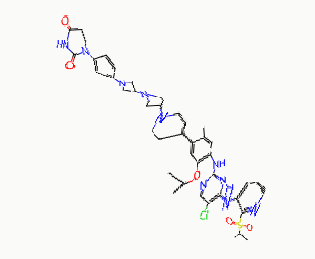 Cc1cc(Nc2ncc(Cl)c(Nc3cccnc3S(=O)(=O)C(C)C)n2)c(OC(C)C)cc1C1CCN(C2CN(C3CN(c4ccc(N5CCC(=O)NC5=O)cc4)C3)C2)CC1